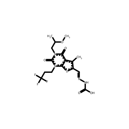 COC(C)Cn1c(=O)c2c(C)c(/C=N/NC(=O)O)sc2n(CCC(F)(F)F)c1=O